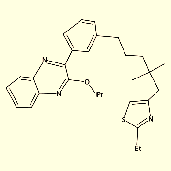 CCc1nc(CC(C)(C)CCCc2cccc(-c3nc4ccccc4nc3OC(C)C)c2)cs1